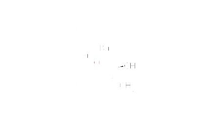 C=C(I)[C@H](C)CO[Si](c1ccccc1)(c1ccccc1)C(C)(C)C